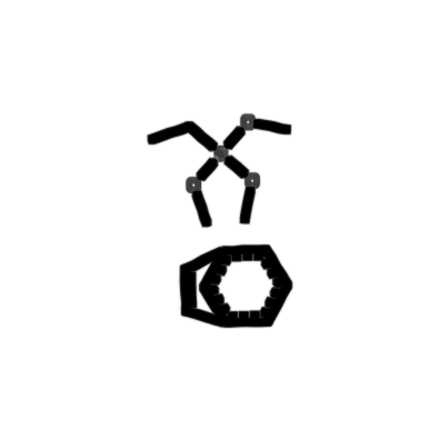 C1=Cc2cccc1c2.CC[Si](OC)(OC)OC